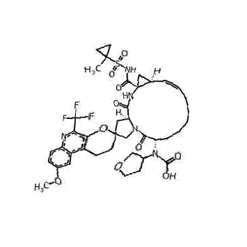 COc1ccc2nc(C(F)(F)F)c3c(c2c1)CC[C@]1(C[C@H]2C(=O)N[C@]4(C(=O)NS(=O)(=O)C5(C)CC5)C[C@H]4/C=C\CCCCC[C@H](N(C(=O)O)C4CCOC4)C(=O)N2C1)O3